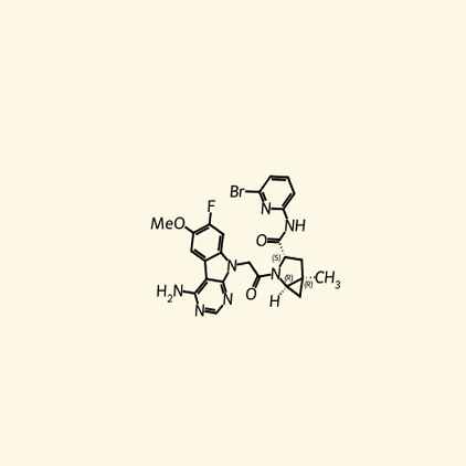 COc1cc2c3c(N)ncnc3n(CC(=O)N3[C@H](C(=O)Nc4cccc(Br)n4)C[C@@]4(C)C[C@@H]34)c2cc1F